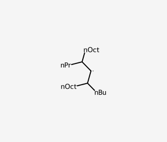 CCCCCCCCC([CH]C(CCCC)CCCCCCCC)CCC